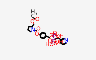 CC(=O)OCC1CCCN1C(=O)Oc1ccc(C2OP(=O)(O)C(O)(Cc3cccnc3)P(=O)(O)O2)cc1